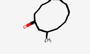 CC1CCCCCCCCC(=O)C1